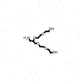 NCC(COCCOCCO)OCCOCCO